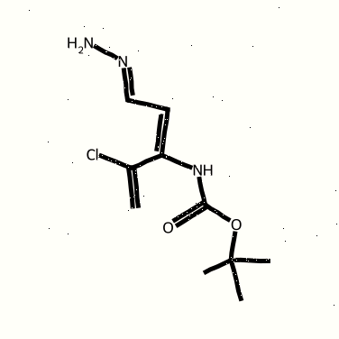 C=C(Cl)/C(=C\C=N\N)NC(=O)OC(C)(C)C